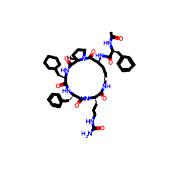 CC(=O)N[C@@H](Cc1ccccc1)C(=O)N[C@H]1CCCNC(=O)[C@H](CCCNC(N)=O)NC(=O)[C@H](Cc2ccccc2)NC(=O)[C@@H](CC2CCCCC2)NC(=O)[C@@H]2CCCN2C1=O